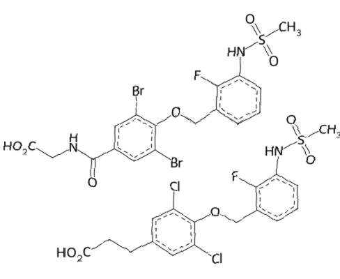 CS(=O)(=O)Nc1cccc(COc2c(Br)cc(C(=O)NCC(=O)O)cc2Br)c1F.CS(=O)(=O)Nc1cccc(COc2c(Cl)cc(CCC(=O)O)cc2Cl)c1F